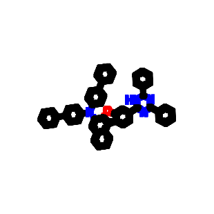 c1ccc(C2=NC(c3ccccc3)NC(c3ccc4c(c3)oc3c(N(c5ccc(-c6ccccc6)cc5)c5ccc(-c6ccccc6)cc5)cc5ccccc5c34)=N2)cc1